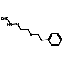 O=CNOCCSCCc1ccccc1